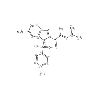 CSc1ccc2cc(C(=O)/C(C#N)=C/N(C)C)n(S(=O)(=O)c3ccc(C)cc3)c2c1